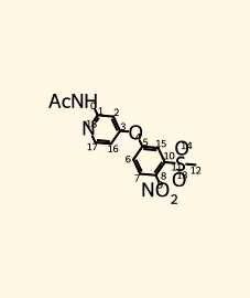 CC(=O)Nc1cc(Oc2ccc([N+](=O)[O-])c(S(C)(=O)=O)c2)ccn1